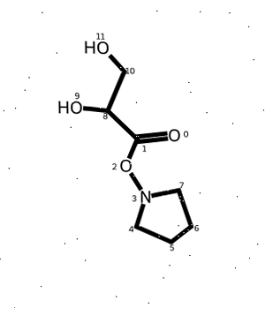 O=C(ON1CCCC1)C(O)CO